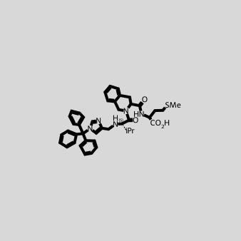 CSCCC(NC(=O)C1Cc2ccccc2CN1C(=O)[C@@H](NCc1cn(C(c2ccccc2)(c2ccccc2)c2ccccc2)cn1)C(C)C)C(=O)O